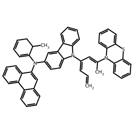 C=C/C=C(\C=C(/C)N1c2ccccc2Sc2ccccc21)n1c2ccccc2c2cc(N(C3=CC=CCC3C)c3cc4ccccc4c4ccccc34)ccc21